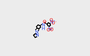 O=C(NCc1ccc2c(c1)CN(c1ccccn1)C2)c1cc([N+](=O)[O-])cc([N+](=O)[O-])c1